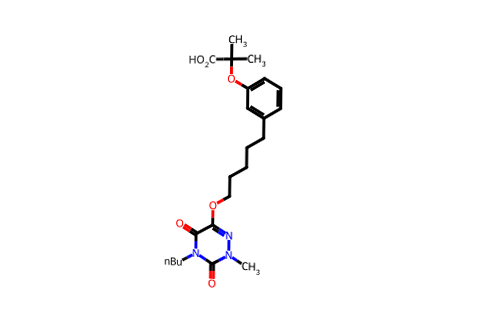 CCCCn1c(=O)c(OCCCCCc2cccc(OC(C)(C)C(=O)O)c2)nn(C)c1=O